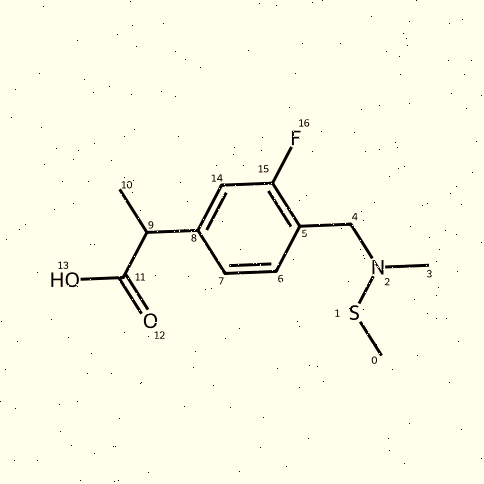 CSN(C)Cc1ccc(C(C)C(=O)O)cc1F